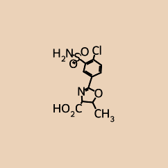 CC1OC(c2ccc(Cl)c(S(N)(=O)=O)c2)=NC1C(=O)O